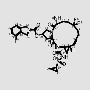 N[C@H]1CCC(F)(F)CC/C=C\[C@@H]2C[C@@]2(C(=O)NS(=O)(=O)C2CC2)NC(=O)[C@@H]2C[C@@H](OC(=O)N3Cc4cccc(F)c4C3)CN2C1=O